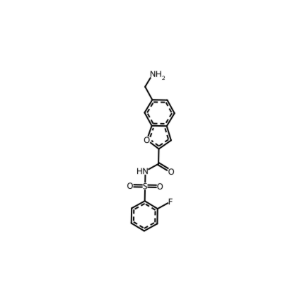 NCc1ccc2cc(C(=O)NS(=O)(=O)c3ccccc3F)oc2c1